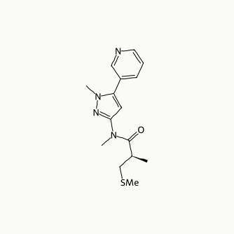 CSC[C@H](C)C(=O)N(C)c1cc(-c2cccnc2)n(C)n1